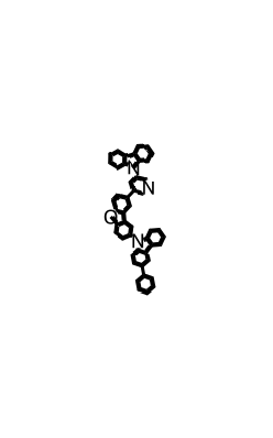 c1ccc(-c2ccc3c(c2)c2ccccc2n3-c2ccc3oc4ccc(-c5cncc(-n6c7ccccc7c7ccccc76)c5)cc4c3c2)cc1